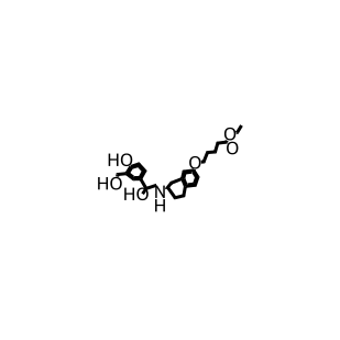 CCOC(=O)CCCCOc1ccc2c(c1)C[C@@H](NCC(O)c1ccc(O)c(CO)c1)CC2